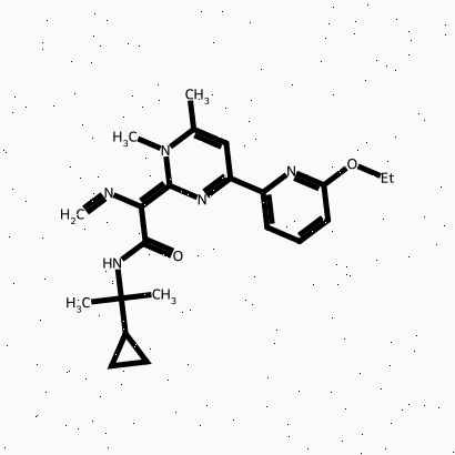 C=N/C(C(=O)NC(C)(C)C1CC1)=C1/N=C(c2cccc(OCC)n2)C=C(C)N1C